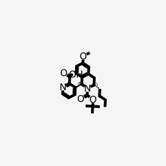 CCCC[C@H]1Cc2cc(OC)ccc2[C@H](c2cccnc2C(=O)O)N1C(=O)OC(C)(C)C